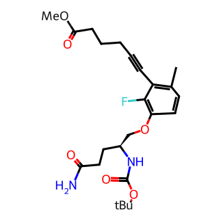 COC(=O)CCCC#Cc1c(C)ccc(OC[C@H](CCC(N)=O)NC(=O)OC(C)(C)C)c1F